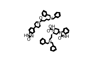 O=C(O)N1CCC(n2c(=O)[nH]c3ccccc32)C[C@@H]1CCCN(Cc1ccccc1)Cc1ccccc1.O=C1[N]c2cc(C3CCN(C(=O)CCCN(Cc4ccccc4)Cc4ccccc4)CC3)ccc2N1